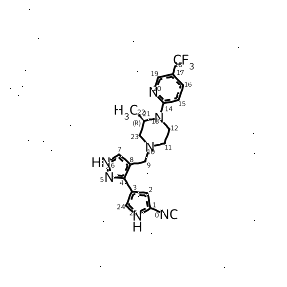 [C-]#[N+]c1cc(-c2n[nH]cc2CN2CCN(c3ccc(C(F)(F)F)cn3)[C@H](C)C2)c[nH]1